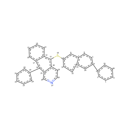 c1ccc(-c2ccc3cc(Sc4c5ccccc5c(-c5ccccc5)c5cnccc45)ccc3c2)cc1